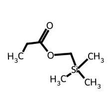 CCC(=O)OC[Si](C)(C)C